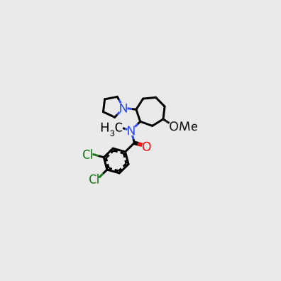 COC1CCCC(N2CCCC2)C(N(C)C(=O)c2ccc(Cl)c(Cl)c2)C1